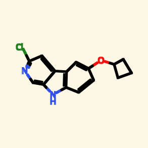 Clc1cc2c(cn1)[nH]c1ccc(OC3CCC3)cc12